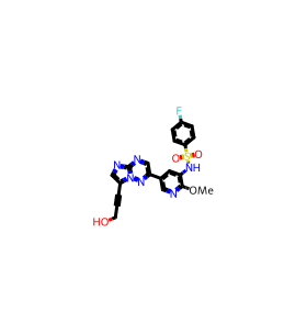 COc1ncc(-c2cnc3ncc(C#CCO)n3n2)cc1NS(=O)(=O)c1ccc(F)cc1